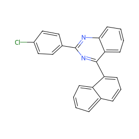 Clc1ccc(-c2nc(-c3cccc4ccccc34)c3ccccc3n2)cc1